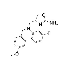 COc1ccc(CN(CC2COC(N)=N2)c2cccc(F)c2)cc1